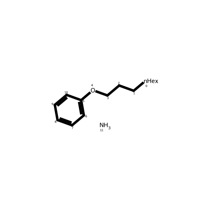 CCCCCCCCCOc1ccccc1.N